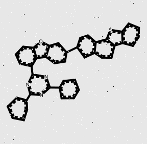 c1ccc(-c2nc(-c3ccccc3)nc(-c3cccc4oc5cc(-c6ccc7c(ccc8c9ccccc9sc78)c6)ccc5c34)n2)cc1